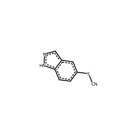 N#CSc1ccc2[nH]ncc2c1